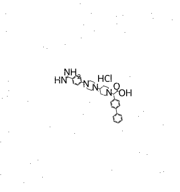 Cl.N=C(N)c1ccc(N2CCN(C3CCN(C(C(=O)O)c4ccc(-c5ccccc5)cc4)CC3)CC2)cc1